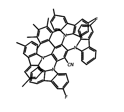 Cc1ccc2c(c1)c1cc(C)ccc1n2-c1c(-c2c(C)c(C)c(C)c(C)c2C)c(-n2c3ccc(C)cc3c3cc(C)ccc32)c(-n2c3ccccc3c3cc(F)ccc32)c(C#N)c1-n1c2ccccc2c2cc(F)ccc21